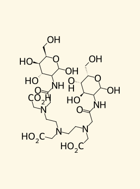 O=C(O)CN(CCN(CC(=O)O)CC(=O)NC1C(O)O[C@@H](CO)[C@@H](O)[C@@H]1O)CCN(CC(=O)O)CC(=O)NC1C(O)O[C@H](CO)[C@H](O)[C@H]1O